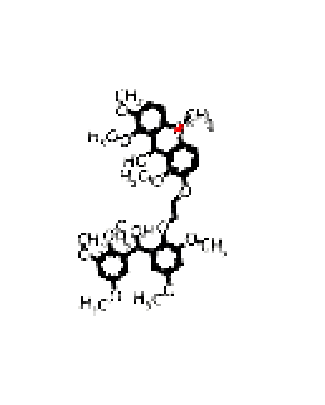 COc1cc(OC)c(OC)c(C(O)c2cc(OC)cc(OC)c2OCCOc2ccc(OC)c(C(O)c3c(OC)ccc(OC)c3OC)c2OC)c1